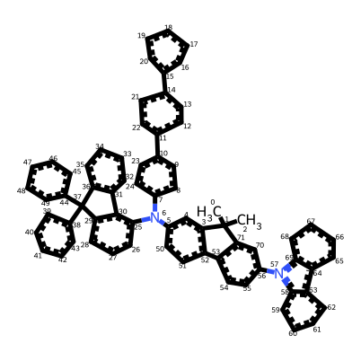 CC1(C)c2cc(N(c3ccc(-c4ccc(-c5ccccc5)cc4)cc3)c3cccc4c3-c3ccccc3C4(c3ccccc3)c3ccccc3)ccc2-c2ccc(-n3c4ccccc4c4ccccc43)cc21